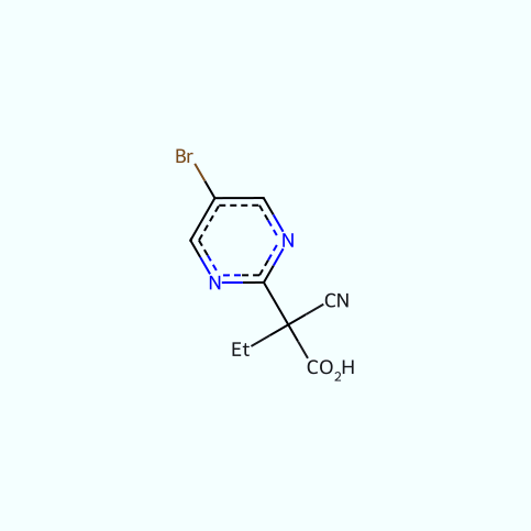 CCC(C#N)(C(=O)O)c1ncc(Br)cn1